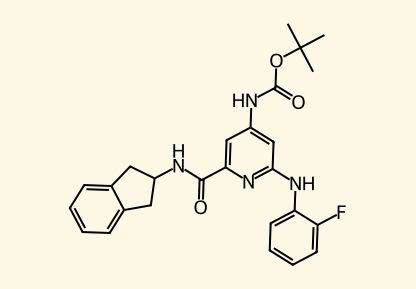 CC(C)(C)OC(=O)Nc1cc(Nc2ccccc2F)nc(C(=O)NC2Cc3ccccc3C2)c1